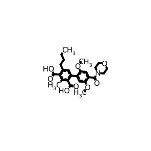 CCCCc1cc(-c2cc(OC)c(C(=O)N3CCOCC3)cc2OC)c(C(=O)O)c(C)c1C(=O)O